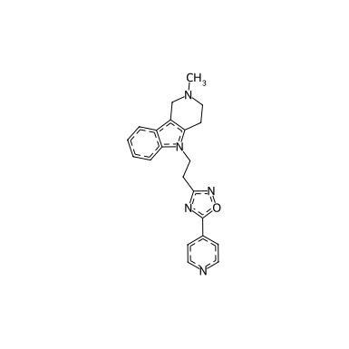 CN1CCc2c(c3ccccc3n2CCc2noc(-c3ccncc3)n2)C1